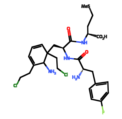 CSCC[C@H](NC(=O)[C@H](CC1(CCCl)C=CC=C(CCCl)C1N)NC(=O)[C@@H](N)Cc1ccc(F)cc1)C(=O)O